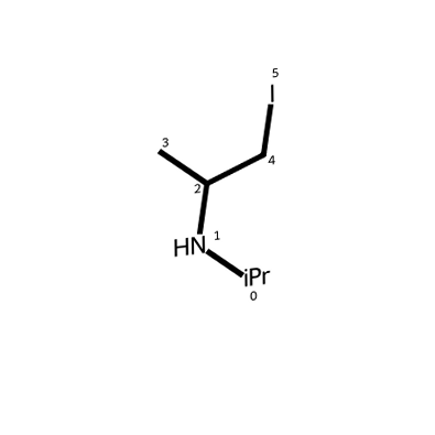 CC(C)NC(C)CI